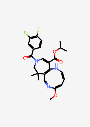 COc1ccc[nH]c2c(cn1)C(C)(C)CN(C(=O)c1ccc(F)c(F)c1)C=C2C(=O)OC(C)C